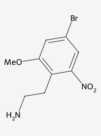 COc1cc(Br)cc([N+](=O)[O-])c1CCN